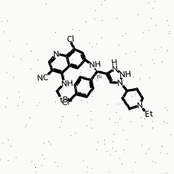 CCN1CCC(N2C=C([C@@H](Nc3cc(Cl)c4ncc(C#N)c(NCC(C)(C)C)c4c3)c3ccc(Cl)cc3)NN2)CC1